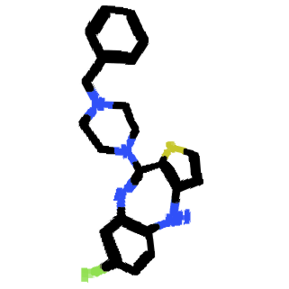 Fc1ccc2c(c1)N=C(N1CCN(Cc3ccccc3)CC1)c1sccc1N2